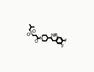 CC(C)CS(=O)(=O)CCC(=O)N1CCC([C@H](N)Cc2cc(F)c(F)cc2F)CC1